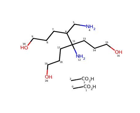 CC(=O)O.CC(=O)O.NCC(CCCO)C(N)(CCCO)CCCO